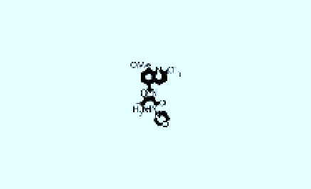 COc1ccc(-c2nc(C(=O)NN3CCOCC3)c([C@H](C)N)o2)c2ccc(C(F)(F)F)nc12